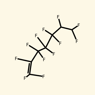 FC(F)=C(F)C(F)(F)C(F)(F)C(F)(F)C(F)C(F)F